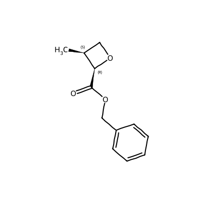 C[C@H]1CO[C@H]1C(=O)OCc1ccccc1